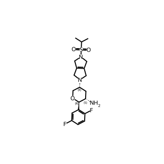 CC(C)S(=O)(=O)N1CC2=C(CN([C@H]3CO[C@H](c4cc(F)ccc4F)[C@@H](N)C3)C2)C1